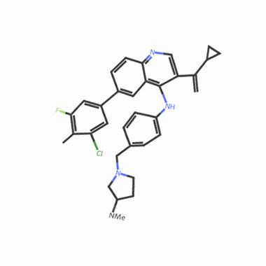 C=C(c1cnc2ccc(-c3cc(F)c(C)c(Cl)c3)cc2c1Nc1ccc(CN2CCC(NC)C2)cc1)C1CC1